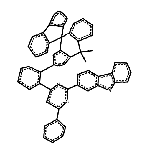 CC1(C)c2ccccc2C2(c3ccccc3-c3ccccc32)c2cc(-c3ccccc3-c3cc(-c4ccccc4)nc(-c4ccc5c(c4)sc4ccccc45)n3)ccc21